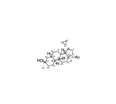 CC(=O)[C@H]1C[C@@H](C2CC2)[C@H]2C3CC[C@@H]4C[C@](C)(O)CC[C@@H]4[C@H]3CC[C@]12C